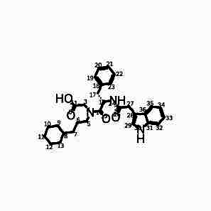 O=C(O)CN(CCCC1CCCCC1)C(=O)[C@H](Cc1ccccc1)NC(=O)Cc1c[nH]c2ccccc12